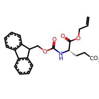 C=CCOC(=O)[C@H](CCC(=O)O)NC(=O)OCC1c2ccccc2-c2ccccc21